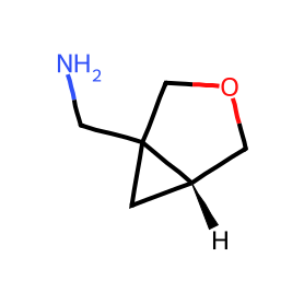 NCC12COC[C@@H]1C2